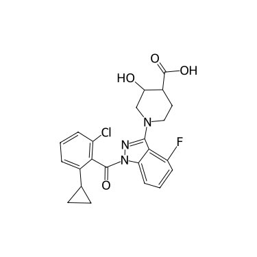 O=C(O)C1CCN(c2nn(C(=O)c3c(Cl)cccc3C3CC3)c3cccc(F)c23)CC1O